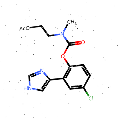 CC(=O)OCCN(C)C(=O)Oc1ccc(Cl)cc1-c1c[nH]cn1